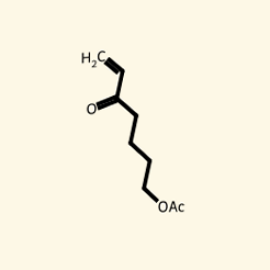 [CH2]C(=O)OCCCCC(=O)C=C